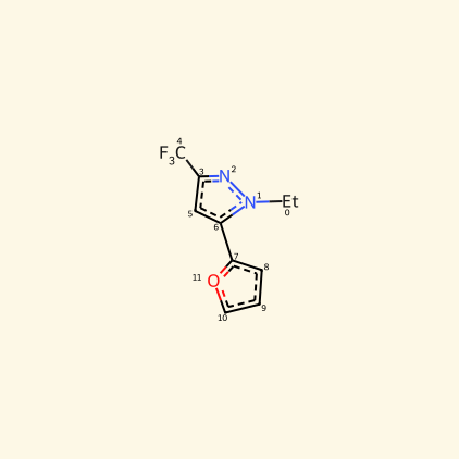 CCn1nc(C(F)(F)F)cc1-c1ccco1